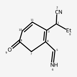 CCC(C#N)C1=C(C=N)CC(=O)C=C1